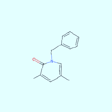 Cc1cc(C)c(=O)n(Cc2ccccc2)c1